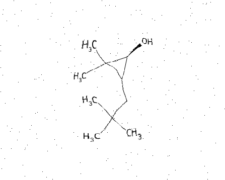 CC(C)(C)CC1[C@H](O)C1(C)C